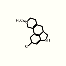 CN1CCC2=C(C1)C1=C3C(=CC(Cl)C1)NCC3C2